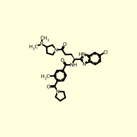 Cc1cc(C(=O)N[C@@H](CCC(=O)N2CCC(N(C)C)C2)c2nc3ccc(Cl)cc3[nH]2)ccc1C(=O)N1CCCC1